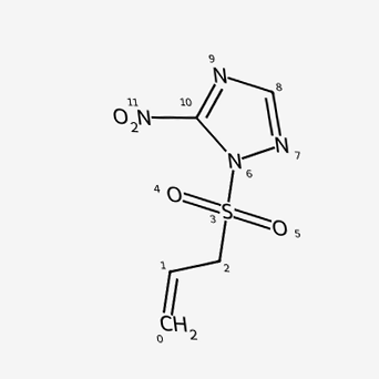 C=CCS(=O)(=O)n1ncnc1[N+](=O)[O-]